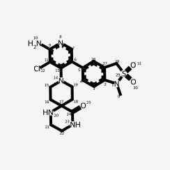 CN1c2ccc(-c3cnc(N)c(Cl)c3N3CCC4(CC3)NCCNC4=O)cc2CS1(=O)=O